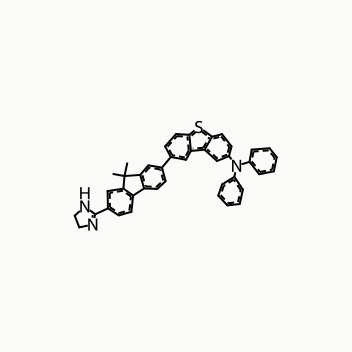 CC1(C)c2cc(C3=NCCN3)ccc2-c2ccc(-c3ccc4sc5ccc(N(c6ccccc6)c6ccccc6)cc5c4c3)cc21